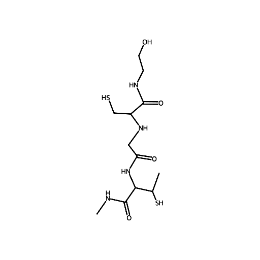 CNC(=O)C(NC(=O)CNC(CS)C(=O)NCCO)C(C)S